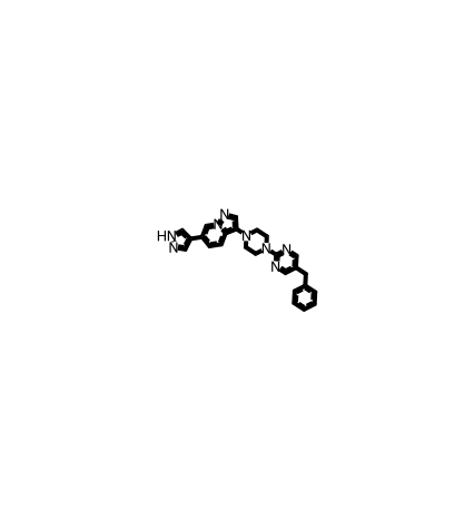 c1ccc(Cc2cnc(N3CCN(c4cnn5cc(-c6cn[nH]c6)ccc45)CC3)nc2)cc1